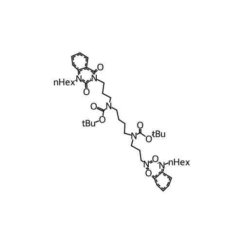 CCCCCCn1on(CCCN(CCCCN(CCCn2c(=O)c3ccccc3n(CCCCCC)c2=O)C(=O)OC(C)(C)C)C(=O)OC(C)(C)C)oc2ccccc21